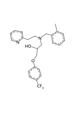 Cc1ccccc1CN(CCc1ccccn1)CC(O)COc1ccc(C(F)(F)F)cc1